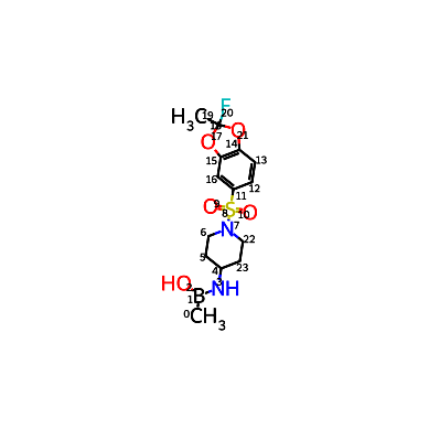 CB(O)NC1CCN(S(=O)(=O)c2ccc3c(c2)OC(C)(F)O3)CC1